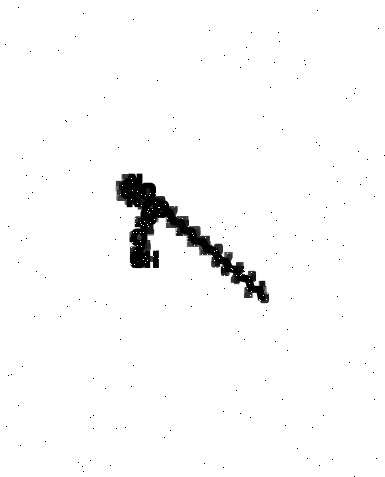 CCCCCCCCCCCCCCCCCCOCC(COCCOCCO)Oc1ncccn1